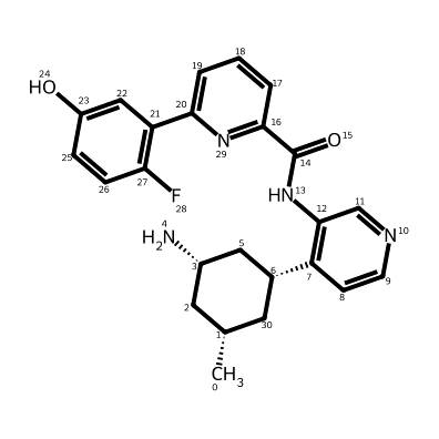 C[C@@H]1C[C@H](N)C[C@H](c2ccncc2NC(=O)c2cccc(-c3cc(O)ccc3F)n2)C1